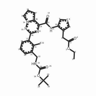 CCOC(=O)Cc1cscc1NC(=O)c1nc(-c2cccc(CNC(=O)OC(C)(C)C)c2F)nn2cccc12